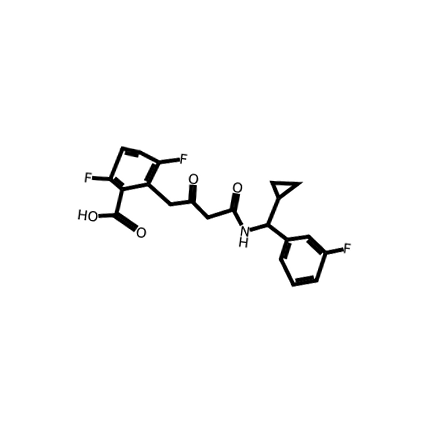 O=C(CC(=O)NC(c1cccc(F)c1)C1CC1)Cc1c(F)ccc(F)c1C(=O)O